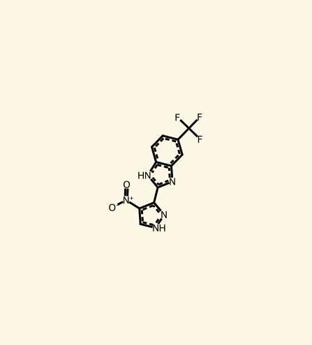 O=[N+]([O-])c1c[nH]nc1-c1nc2cc(C(F)(F)F)ccc2[nH]1